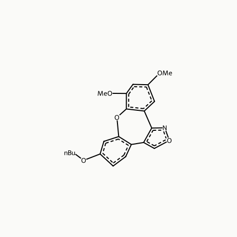 CCCCOc1ccc2c(c1)Oc1c(OC)cc(OC)cc1-c1nocc1-2